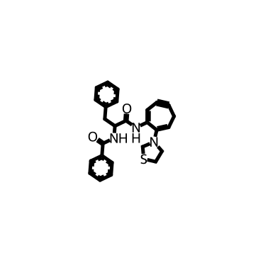 O=C(NC(Cc1ccccc1)C(=O)NC1=CC#CCC=C1N1CCSC1)c1ccccc1